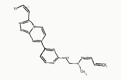 C=C/C=N\N(C)CNc1nccc(-c2ccn3c(/C=C\CC)nnc3c2)n1